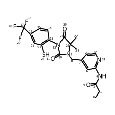 CCC(=O)Nc1cc(CN2C(=O)N(c3ccc(C(F)(F)F)cc3S)C(=O)C2(C)C)ccn1